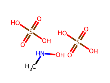 CNO.O=S(=O)(O)O.O=S(=O)(O)O